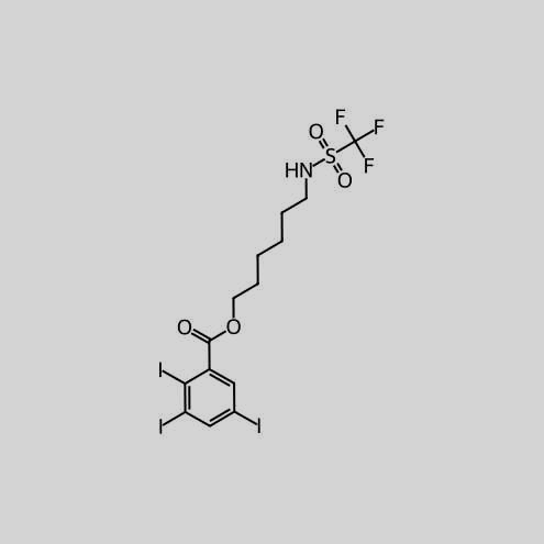 O=C(OCCCCCCNS(=O)(=O)C(F)(F)F)c1cc(I)cc(I)c1I